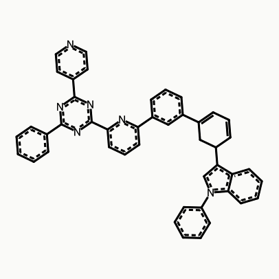 C1=CC(c2cn(-c3ccccc3)c3ccccc23)CC(c2cccc(-c3cccc(-c4nc(-c5ccccc5)nc(-c5ccncc5)n4)n3)c2)=C1